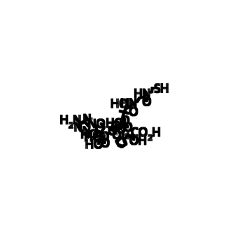 CC(C)(COP(=O)(O)OP(=O)(O)OC[C@H]1O[C@@H](n2cnc3c(N)ncnc32)[C@H](O)[C@@H]1OP(=O)(O)O)[C@@H](O)C(=O)NCCC(=O)NCCS.O=C(O)C(O)=Cc1ccccc1